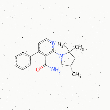 C[C@@H]1CN(c2nccc(-c3ccccc3)c2C(N)=O)C(C)(C)C1